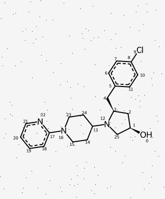 O[C@@H]1C[C@H](Cc2ccc(Cl)cc2)N(C2CCN(c3ccccn3)CC2)C1